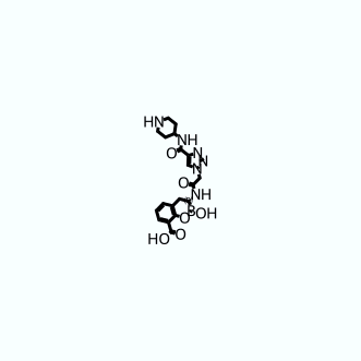 O=C(Cn1cc(C(=O)NC2CCNCC2)nn1)N[C@H]1Cc2cccc(C(=O)O)c2OB1O